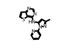 Cc1cc(Nc2ncnc3ccsc23)n(-c2ccccn2)n1